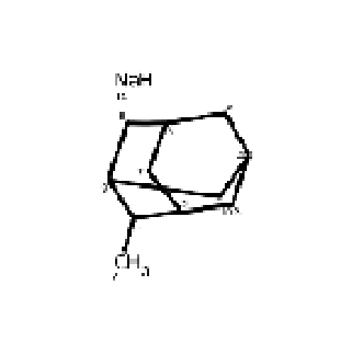 CC1C2CC3CC(C2)CC1C3.[NaH]